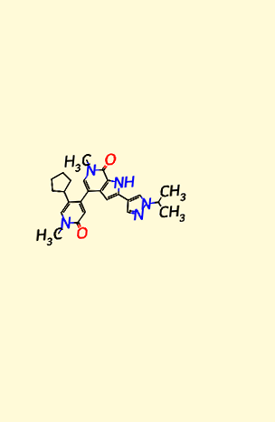 CC(C)n1cc(-c2cc3c(-c4cc(=O)n(C)cc4C4CCCC4)cn(C)c(=O)c3[nH]2)cn1